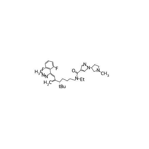 C=C(/C=C(\N=N/C)c1c(F)cccc1F)[C@H](CCCCN(CC)C(=O)c1cnn(C2CCN(C)C2)c1)C(C)(C)C